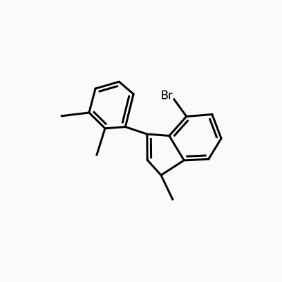 Cc1cccc(C2=CC(C)c3cccc(Br)c32)c1C